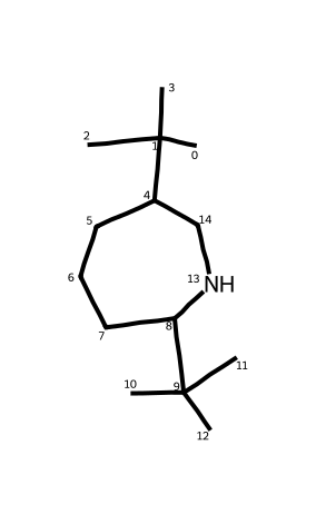 CC(C)(C)C1CCCC(C(C)(C)C)NC1